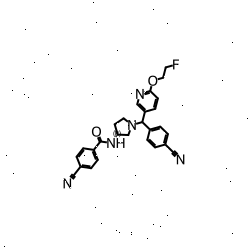 N#Cc1ccc(C(=O)N[C@@H]2CCN(C(c3ccc(C#N)cc3)c3ccc(OCCF)nc3)C2)cc1